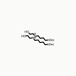 CCCCCCCCCCCCCCCNCCO.CCCCCCCCCCCCCCNCCO